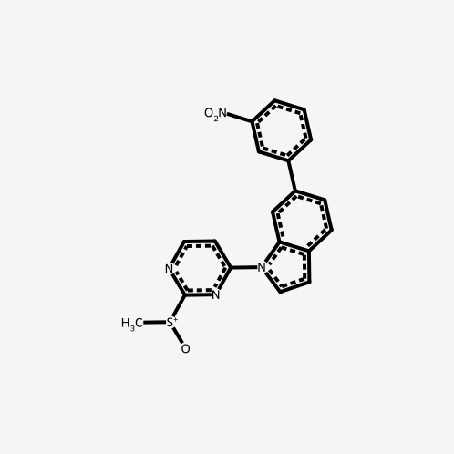 C[S+]([O-])c1nccc(-n2ccc3ccc(-c4cccc([N+](=O)[O-])c4)cc32)n1